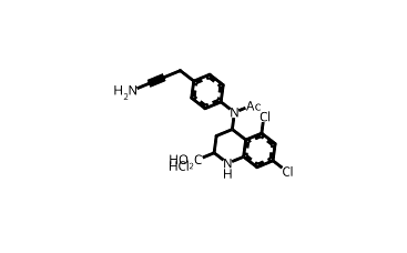 CC(=O)N(c1ccc(CC#CN)cc1)C1CC(C(=O)O)Nc2cc(Cl)cc(Cl)c21.Cl